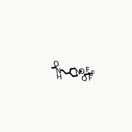 CC(=O)NCCC1CCN(OC(=O)C(F)(F)F)CC1